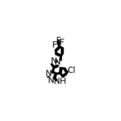 CNc1ncnc(-c2cnn(Cc3ccc(C(F)(F)F)cc3)c2)c1-c1ccc(Cl)cc1